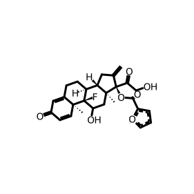 C=C1C[C@H]2[C@@H]3CCC4=CC(=O)C=C[C@]4(C)[C@@]3(F)C(O)C[C@]2(C)[C@@]1(OC(=O)c1ccco1)C(=O)CO